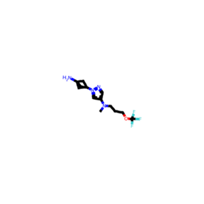 CN(CCCOC(F)(F)F)c1cnn(C23CC(N)(C2)C3)c1